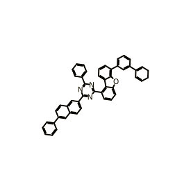 C1=CC(c2cccc(-c3cccc4c3oc3cccc(-c5nc(-c6ccccc6)nc(-c6ccc7cc(-c8ccccc8)ccc7c6)n5)c34)c2)=CCC1